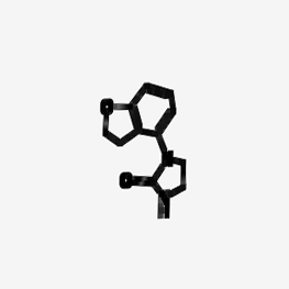 O=C1NCCN1c1cccc2c1CCO2